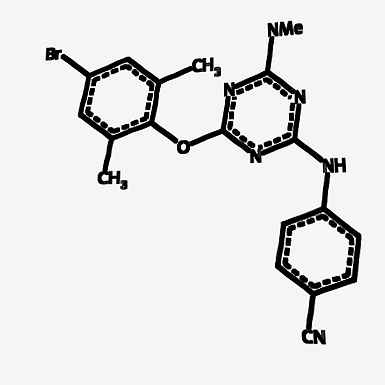 CNc1nc(Nc2ccc(C#N)cc2)nc(Oc2c(C)cc(Br)cc2C)n1